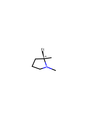 CC[C@]1(C)CCCN1C